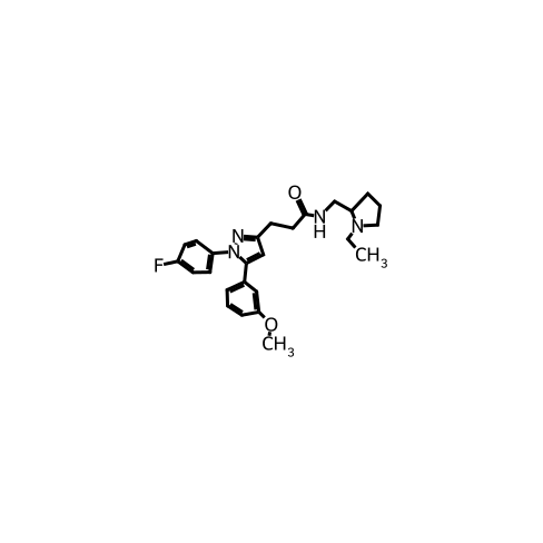 CCN1CCCC1CNC(=O)CCc1cc(-c2cccc(OC)c2)n(-c2ccc(F)cc2)n1